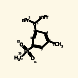 CCCN(CCC)c1cc(C)cc(S(C)(=O)=O)c1